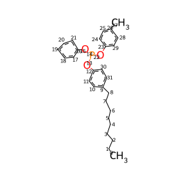 CCCCCCCCCc1ccc(OP(Oc2ccccc2)Oc2ccc(C)cc2)cc1